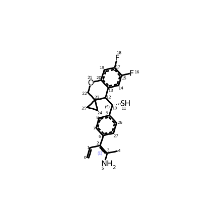 C=C/C(=C(/C)N)c1ccc([C@@H](S)C2c3cc(F)c(F)cc3OCC23CC3)cc1